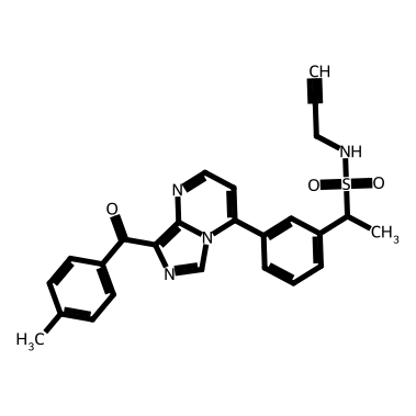 C#CCNS(=O)(=O)C(C)c1cccc(-c2ccnc3c(C(=O)c4ccc(C)cc4)ncn23)c1